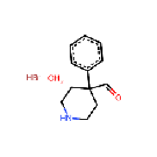 Br.O.O=CC1(c2ccccc2)CCNCC1